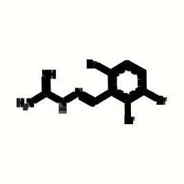 N=C(N)N/N=C/c1c(Br)ccc(Br)c1Br